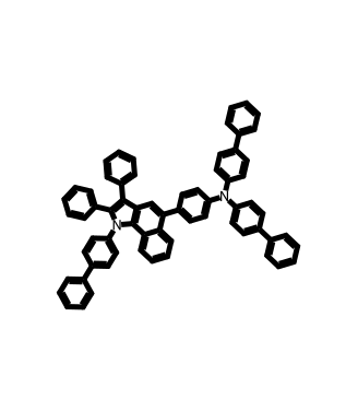 c1ccc(-c2ccc(N(c3ccc(-c4ccccc4)cc3)c3ccc(-c4cc5c(-c6ccccc6)c(-c6ccccc6)n(-c6ccc(-c7ccccc7)cc6)c5c5ccccc45)cc3)cc2)cc1